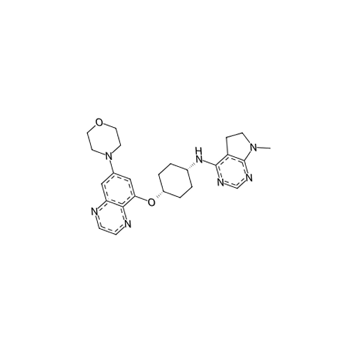 CN1CCc2c(N[C@H]3CC[C@@H](Oc4cc(N5CCOCC5)cc5nccnc45)CC3)ncnc21